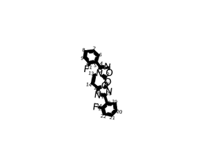 O=c1onc(-c2ccccc2F)n1/C=C\c1nc(-c2ccccc2F)no1